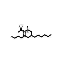 CCCCCCC(CCCCCC)C[C@H](C)NC(C)=O